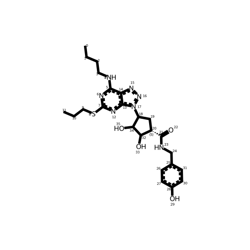 CCCCNc1nc(SCCC)nc2c1nnn2C1C[C@H](C(=O)NCc2ccc(O)cc2)C(O)C1O